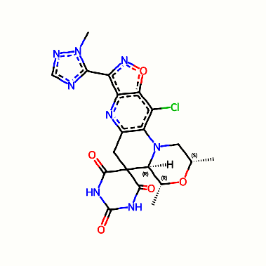 C[C@H]1CN2c3c(nc4c(-c5ncnn5C)noc4c3Cl)CC3(C(=O)NC(=O)NC3=O)[C@@H]2[C@@H](C)O1